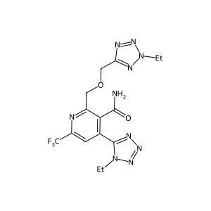 CCn1nnc(COCc2nc(C(F)(F)F)cc(-c3nnnn3CC)c2C(N)=O)n1